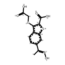 CC(=NO)c1ccc2c(OCC(=O)O)c(C(=O)O)sc2c1